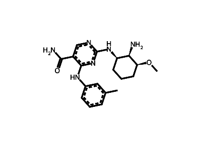 CO[C@H]1CCC[C@@H](Nc2ncc(C(N)=O)c(Nc3cccc(C)c3)n2)[C@H]1N